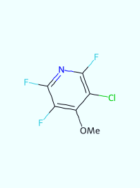 COc1c(F)c(F)nc(F)c1Cl